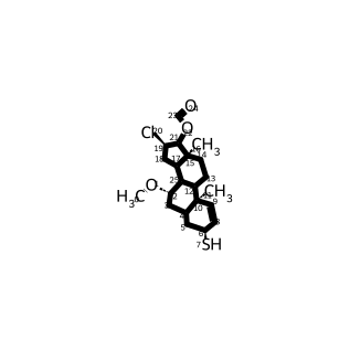 CO[C@H]1CC2C[C@@H](S)C=C[C@]2(C)C2CC[C@@]3(C)C(C[C@@H](Cl)C3OC=O)C21